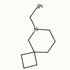 CC(C)CN1CCCC2(CCC2)C1